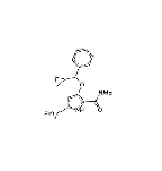 CCOC(=O)c1cc(OC(c2ccccc2)C2CC2)c(C(=O)NC)[nH]1